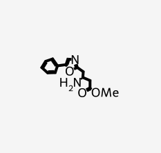 COC(=O)C[C@@H](N)Cc1ncc(-c2ccccc2)o1